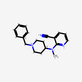 CN(c1ncccc1C#N)C1CCN(Cc2ccccc2)CC1